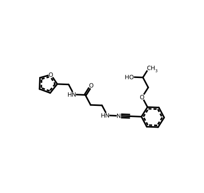 CC(O)COc1ccccc1C#[N+]NCCC(=O)NCc1ccco1